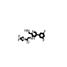 N=Cc1ncc(-c2cc(F)cc(F)c2)cc1NCC(=O)N1CC(F)(F)C1